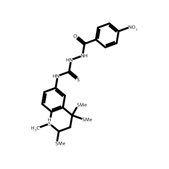 CSC1CC(SC)(SC)c2cc(NC(=S)NNC(=O)c3ccc([N+](=O)[O-])cc3)ccc2[SH]1C